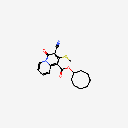 CSc1c(C#N)c(=O)n2ccccc2c1C(=O)OC1CCCCCCC1